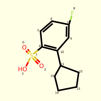 O=S(=O)(O)c1ccc(F)cc1C1CCCC1